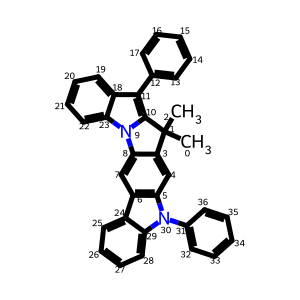 CC1(C)c2cc3c(cc2-n2c1c(-c1ccccc1)c1ccccc12)c1ccccc1n3-c1ccccc1